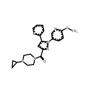 COc1ccc(-n2nc(C(=O)N3CCN(C4CC4)CC3)cc2-c2ccccn2)cn1